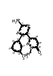 CC(C)n1nc(-c2cnc(N)nc2-c2cccc(C(F)(F)F)c2)ccc1=O